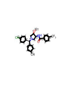 CCOC1CN([C@H](c2ccc(Cl)cc2)c2ccc(C#N)cc2)CC1NC(=O)c1ccc(C(F)(F)F)cc1